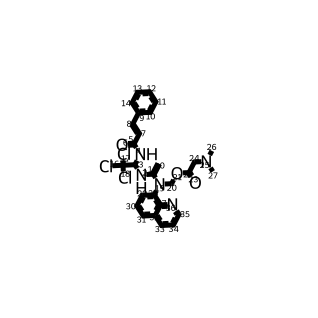 C=C(NC(NC(=O)/C=C/c1ccccc1)C(Cl)(Cl)Cl)N(COC(=O)CN(C)C)c1cccc2cccnc12